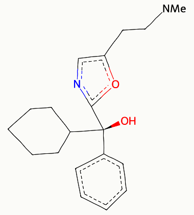 CNCCc1cnc([C@](O)(c2ccccc2)C2CCCCC2)o1